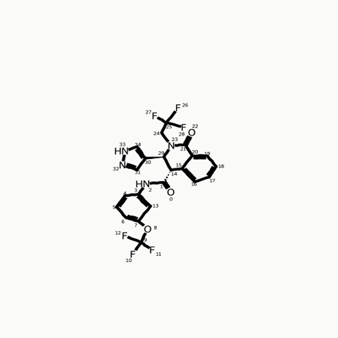 O=C(Nc1cccc(OC(F)(F)F)c1)[C@H]1c2ccccc2C(=O)N(CC(F)(F)F)[C@@H]1c1cn[nH]c1